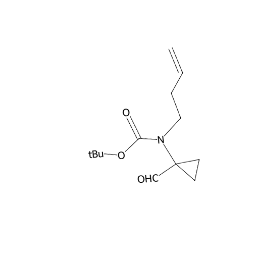 C=CCCN(C(=O)OC(C)(C)C)C1(C=O)CC1